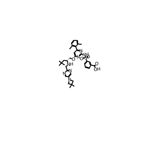 Cc1cccc(C)c1-c1cc(OC[C@@H](CC(C)(C)C)NCc2ncc(N3CC(C)(C)C3)cn2)nc(NS(=O)(=O)c2cccc(C(=O)O)c2)n1